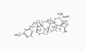 CC(C)[C@@H]1CC[C@]2(C(N)=O)CC[C@]3(C)[C@H](CC[C@@H]4[C@@]5(C)CC[C@H](c6ccc(C(=O)O)cc6)C(C)(C)[C@@H]5CC[C@]43C)[C@@H]12